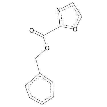 O=C(OCc1ccccc1)c1ncco1